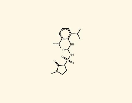 CC(C)c1cccc(C(C)C)c1NC(=O)NS(=O)(=O)C1CCN(C)C1=O